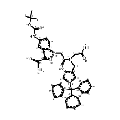 CC(C)(C)OC(=O)Nc1ccc2c(c1)c(C(N)=O)nn2CC(=O)N(CC(=O)O)Cc1cn(C(c2ccccc2)(c2ccccc2)c2ccccc2)cn1